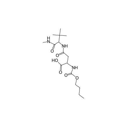 CCCCOC(=O)NC(CC(=O)NC(C(=O)NC)C(C)(C)C)C(=O)O